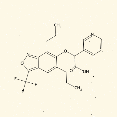 CCCc1cc2c(C(F)(F)F)onc2c(CCC)c1OC(C(=O)O)c1cccnc1